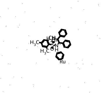 Cc1cc(C)c(S(=O)(=O)N[C@H](c2ccccc2)[C@H](N)c2ccccc2)c(C)c1.[Ru].c1ccccc1